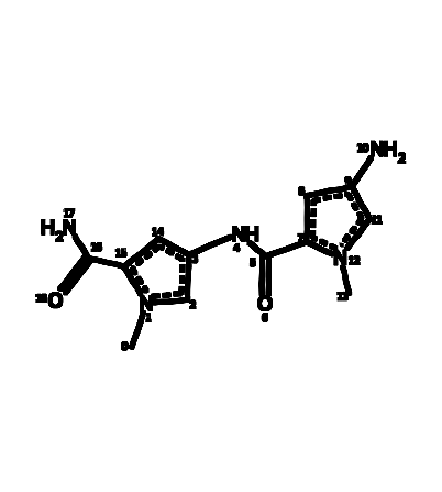 Cn1cc(NC(=O)c2cc(N)cn2C)cc1C(N)=O